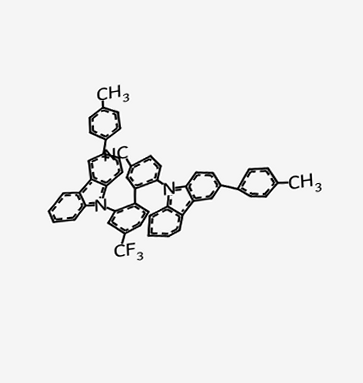 Cc1ccc(-c2ccc3c(c2)c2ccccc2n3-c2ccc(C#N)cc2-c2ccc(C(F)(F)F)cc2-n2c3ccccc3c3cc(-c4ccc(C)cc4)ccc32)cc1